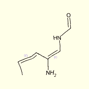 C/C=C\C(N)=C/NC=O